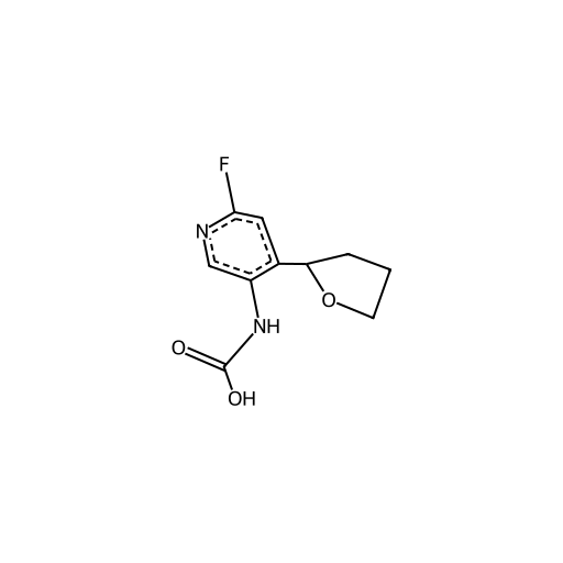 O=C(O)Nc1cnc(F)cc1C1CCCO1